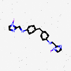 In1ccnc1/C=N/c1ccc(Cc2ccc(/N=C/c3nccn3I)cc2)cc1